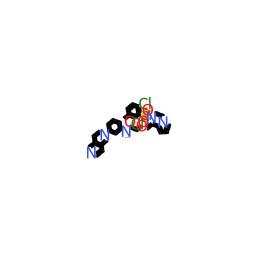 Cc1ccc(Cl)c(S(=O)(=O)N2CCn3cccc3C2COCC(=O)N(C)[C@H]2CCC[C@@H](N3CCc4cnccc4C3)C2)c1Cl